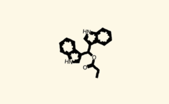 CCC(=O)OC(c1c[nH]c2ccccc12)c1c[nH]c2ccccc12